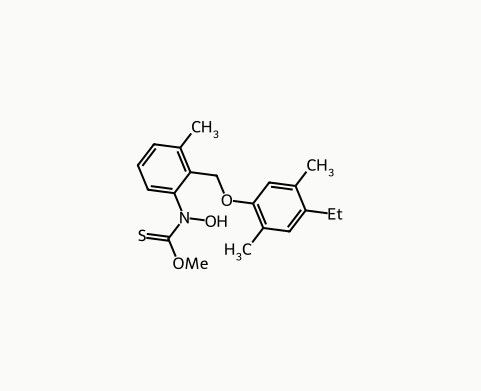 CCc1cc(C)c(OCc2c(C)cccc2N(O)C(=S)OC)cc1C